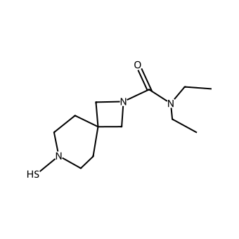 CCN(CC)C(=O)N1CC2(CCN(S)CC2)C1